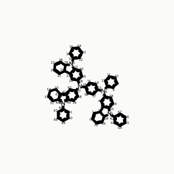 C1=CC2c3cc(N(c4ccccc4)c4ccc(N(c5ccc6c(c5)C5C=CC=CC5N6c5ccccc5)c5ccc6c(c5)c5c(n6-c6ccccc6)C=CCC5)cc4)ccc3N(c3ccccc3)C2C=C1